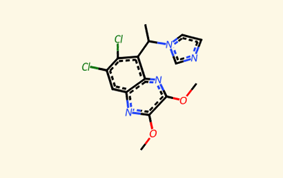 COc1nc2cc(Cl)c(Cl)c(C(C)n3ccnc3)c2nc1OC